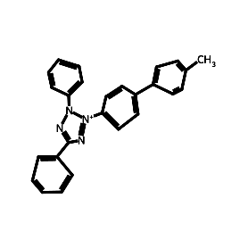 Cc1ccc(-c2ccc(-[n+]3nc(-c4ccccc4)nn3-c3ccccc3)cc2)cc1